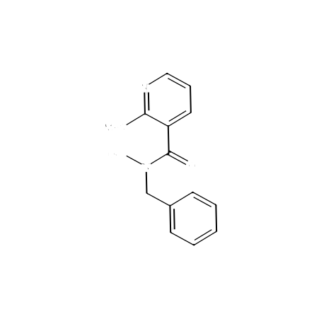 CCCCCCCCN(Cc1ccccc1)C(=O)c1cccnc1SC